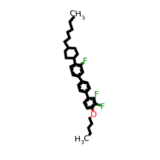 CCCCCCCC1CCC(c2ccc(-c3ccc(-c4ccc(OCCCCC)c(F)c4F)cc3)cc2F)CC1